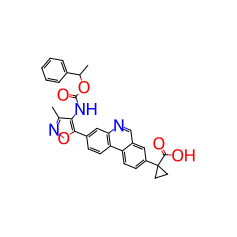 Cc1noc(-c2ccc3c(c2)ncc2cc(C4(C(=O)O)CC4)ccc23)c1NC(=O)OC(C)c1ccccc1